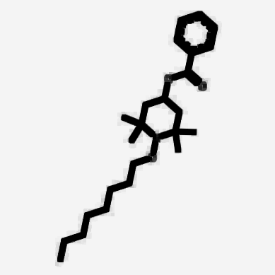 CCCCCCCCON1C(C)(C)CC(OC(=O)c2ccccc2)CC1(C)C